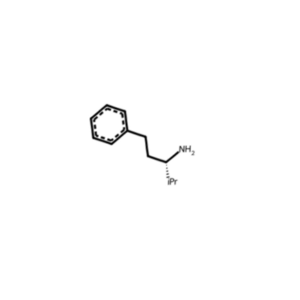 CC(C)[C@@H](N)CCc1ccccc1